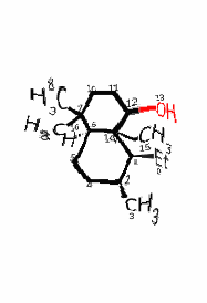 CC[C@H]1[C@@H](C)CC[C@H]2C(C)(C)CCC(O)[C@]12C